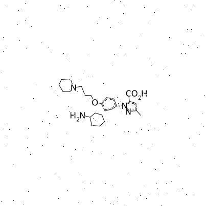 Cc1cc(C(=O)O)n(-c2ccc(OCCCN3CCCCC3)cc2)n1.NC1CCCCC1